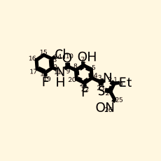 CCc1nc(-c2cc(O)c(C(=O)NC3=C(Cl)CCC=C3F)cc2F)sc1CN=O